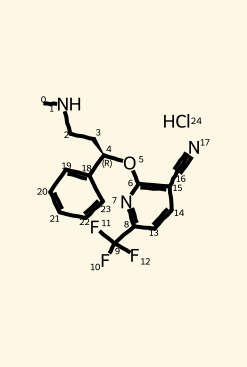 CNCC[C@@H](Oc1nc(C(F)(F)F)ccc1C#N)c1ccccc1.Cl